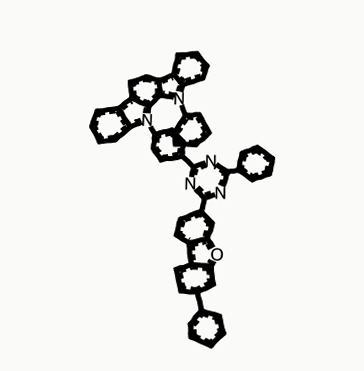 c1ccc(-c2ccc3c(c2)oc2cc(-c4nc(-c5ccccc5)nc(-c5ccc(-n6c7ccccc7c7ccc8c9ccccc9n(-c9ccccc9)c8c76)cc5)n4)ccc23)cc1